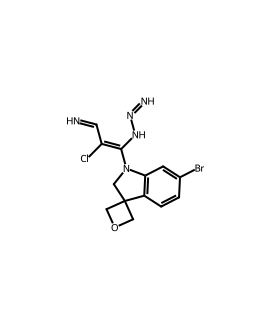 N=C/C(Cl)=C(\NN=N)N1CC2(COC2)c2ccc(Br)cc21